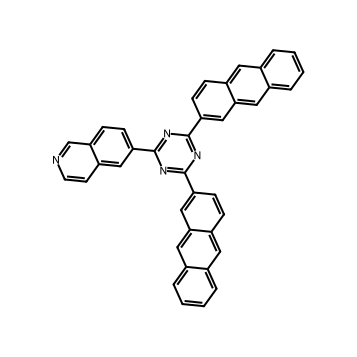 c1ccc2cc3cc(-c4nc(-c5ccc6cnccc6c5)nc(-c5ccc6cc7ccccc7cc6c5)n4)ccc3cc2c1